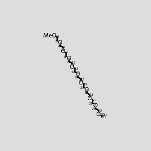 COCCOCCOCCOCCOCCOCCOCCOCCOCCOCCOC(C)C